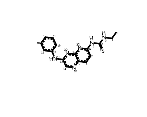 CCNC(=S)Nc1ccc2ncc(Nc3ccccc3)nc2n1